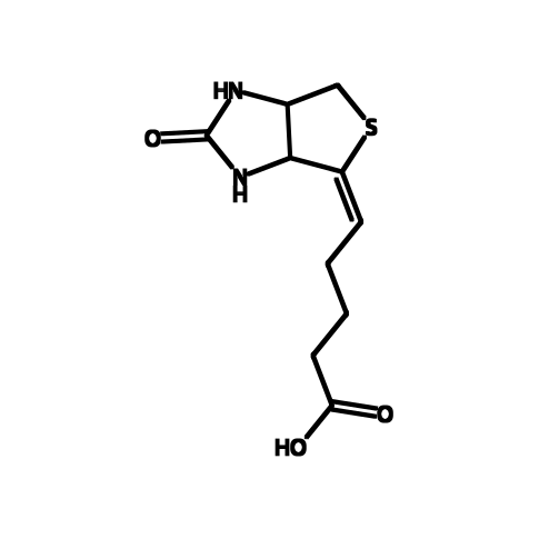 O=C(O)CCCC=C1SCC2NC(=O)NC12